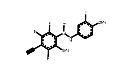 C#Cc1c(F)c(F)c([S+]([O-])Nc2ccc(OC)c(F)c2)c(NC)c1F